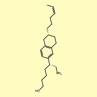 C/C=C\CCC[C@@H]1CCc2cc([C@H](CN)CCCCO)ccc2C1